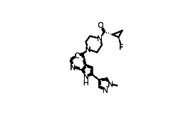 Cn1cc(-c2cc3c(N4CCN(C(=O)[C@@H]5C[C@H]5F)CC4)ccnc3[nH]2)cn1